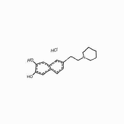 Cl.Oc1cc2ccc(CCN3CCCCC3)cc2cc1O